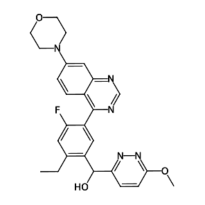 CCc1cc(F)c(-c2ncnc3cc(N4CCOCC4)ccc23)cc1C(O)c1ccc(OC)nn1